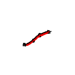 BrCCCCCCCCCCCCOCCCCCCCCCCCCOCCCCCCCCCCCCBr